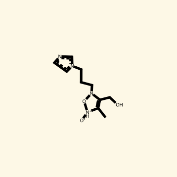 CC1=C(CO)N(CCCn2ccnc2)O[NH+]1[O-]